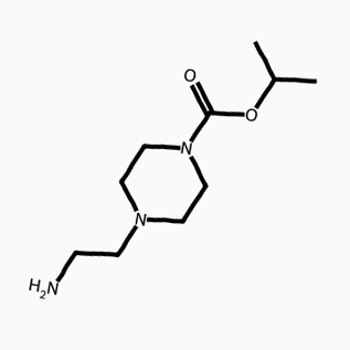 CC(C)OC(=O)N1CCN(CCN)CC1